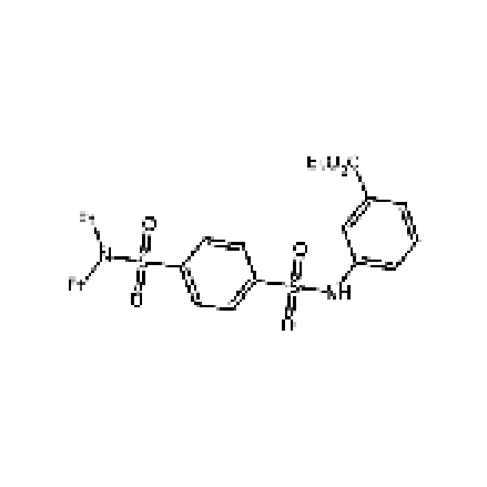 CCOC(=O)c1cccc(NS(=O)(=O)c2ccc(S(=O)(=O)N(CC)CC)cc2)c1